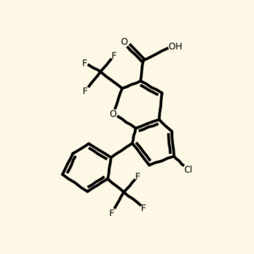 O=C(O)C1=Cc2cc(Cl)cc(-c3ccccc3C(F)(F)F)c2OC1C(F)(F)F